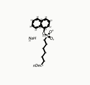 CCCCCCCCCCCCCCCCS(=O)(=O)Oc1cccc2ccccc12.[NaH]